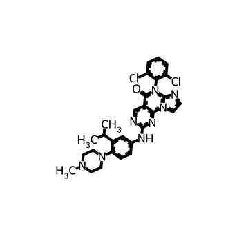 CC(C)c1cc(Nc2ncc3c(=O)n(-c4c(Cl)cccc4Cl)c4nccn4c3n2)ccc1N1CCN(C)CC1